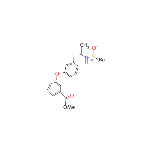 COC(=O)c1cccc(Oc2cccc(CC(C)N[S@@+]([O-])C(C)(C)C)c2)c1